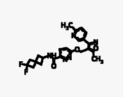 Cc1ccc(-c2noc(C)c2COc2ccc(C(=O)NC3CC4(C3)CC(F)(F)C4)nn2)cn1